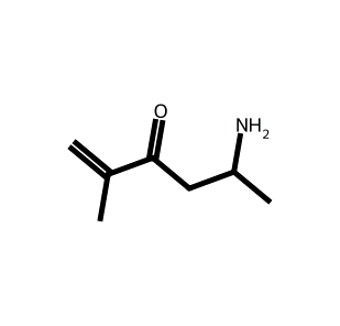 C=C(C)C(=O)CC(C)N